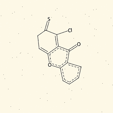 O=c1c2c(oc3ccccc13)=CCC(=S)C=2Cl